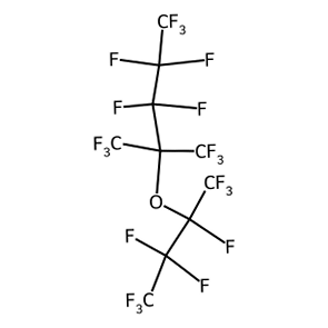 FC(F)(F)C(F)(F)C(F)(F)C(OC(F)(C(F)(F)F)C(F)(F)C(F)(F)F)(C(F)(F)F)C(F)(F)F